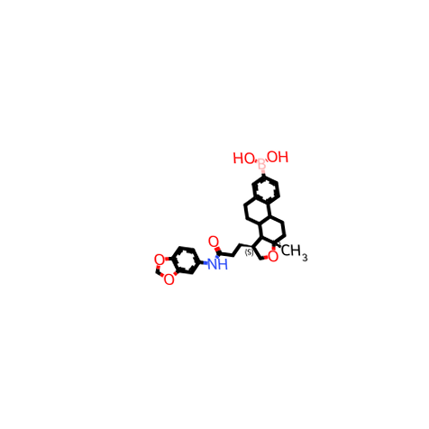 C[C@]12CCC3c4ccc(B(O)O)cc4CCC3C1[C@H](CCC(=O)Nc1ccc3c(c1)OCO3)CO2